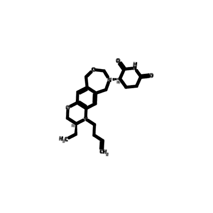 C=CCCN1c2cc3c(cc2OC[C@@H]1CC)COCN([C@H]1CCC(=O)NC1=O)C3